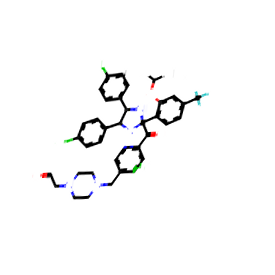 CC(C)Oc1cc(C(F)(F)F)ccc1C1(C(=O)c2ccc(CN3CCN(CC=O)CC3)cc2)NC(c2ccc(Cl)cc2)C(c2ccc(Cl)cc2)N1.Cl